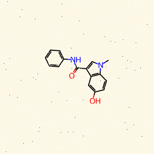 Cn1cc(C(=O)Nc2ccccc2)c2cc(O)ccc21